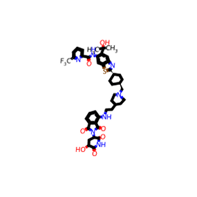 CC(C)(O)c1cc2nc([C@H]3CC[C@H](CN4CCC(CCNc5cccc6c5C(=O)N(C5CC(O)C(=O)NC5=O)C6=O)CC4)CC3)sc2cc1NC(=O)c1cccc(C(F)(F)F)n1